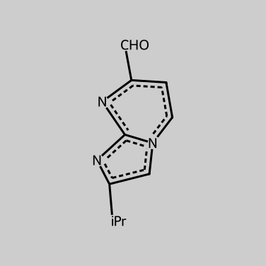 CC(C)c1cn2ccc(C=O)nc2n1